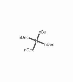 CCCCCCCCCC[N+](CCCC)(CCCCCCCCCC)CCCCCCCCCC